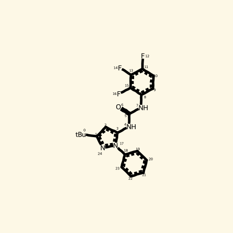 CC(C)(C)c1cc(NC(=O)Nc2ccc(F)c(F)c2F)n(-c2ccccc2)n1